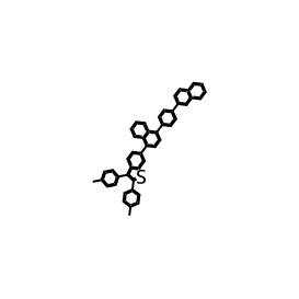 Cc1ccc(-c2sc3cc(-c4ccc(-c5ccc(-c6ccc7ccccc7c6)cc5)c5ccccc45)ccc3c2-c2ccc(C)cc2)cc1